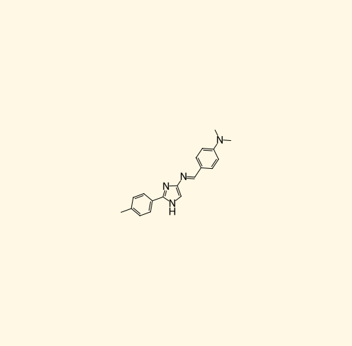 Cc1ccc(-c2nc(N=Cc3ccc(N(C)C)cc3)c[nH]2)cc1